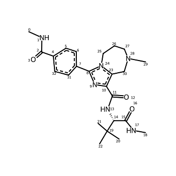 CNC(=O)c1ccc(-c2nc(C(=O)N[C@H](C(=O)NC)C(C)(C)C)c3n2CCCN(C)C3)cc1